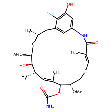 CO[C@H]1C[C@H](C)Cc2cc(cc(O)c2F)NC(=O)/C(C)=C/CC[C@H](OC)[C@@H](OC(N)=O)/C(C)=C/[C@H](C)[C@H]1O